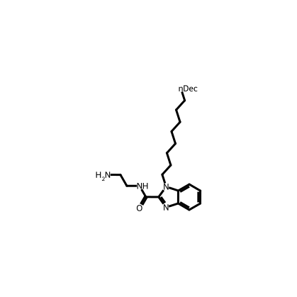 CCCCCCCCCCCCCCCCCCn1c(C(=O)NCCN)nc2ccccc21